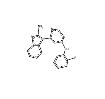 Nc1nc2ccccc2n1-c1cc(Nc2ccccc2F)ncn1